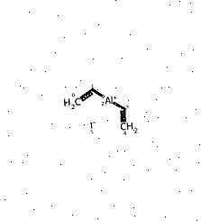 C=[CH][Al+][CH]=C.[I-]